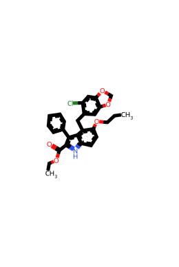 CCCOc1ccc2[nH]c(C(=O)OCC)c(-c3ccccc3)c2c1Cc1cc2c(cc1Cl)OCO2